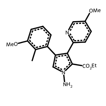 CCOC(=O)c1c(-c2ccc(OC)cn2)c(-c2cccc(OC)c2C)cn1N